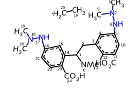 CNC(Cc1cc(NN(C)C)ccc1C(=O)O)c1cc(NN(C)C)ccc1C(=O)O.[CH2][CH2]